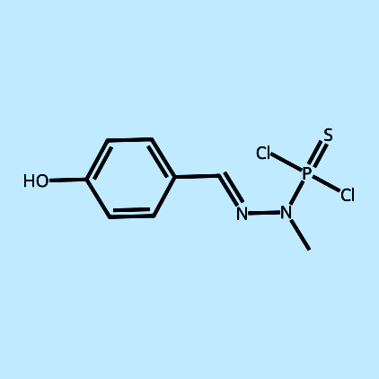 CN(/N=C/c1ccc(O)cc1)P(=S)(Cl)Cl